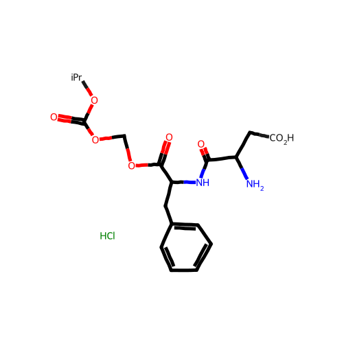 CC(C)OC(=O)OCOC(=O)C(Cc1ccccc1)NC(=O)C(N)CC(=O)O.Cl